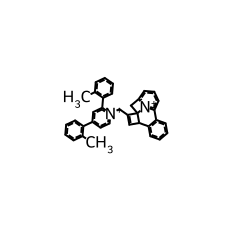 Cc1ccccc1-c1cc[n+](CC2=CC3c4ccccc4-c4cccc5[n+]4C23C5)c(-c2ccccc2C)c1